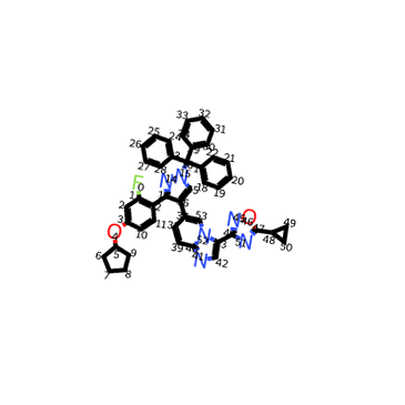 Fc1cc(OC2CCCC2)ccc1-c1nn(C(c2ccccc2)(c2ccccc2)c2ccccc2)cc1-c1ccc2ncc(-c3noc(C4CC4)n3)n2c1